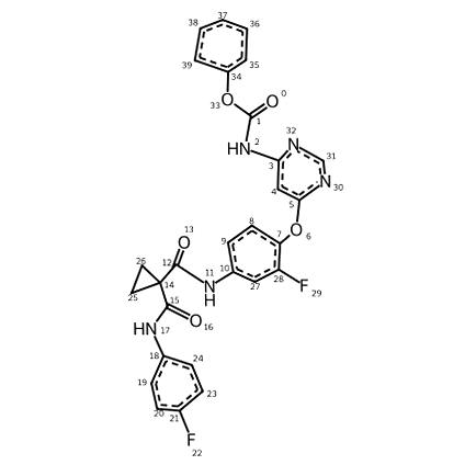 O=C(Nc1cc(Oc2ccc(NC(=O)C3(C(=O)Nc4ccc(F)cc4)CC3)cc2F)ncn1)Oc1ccccc1